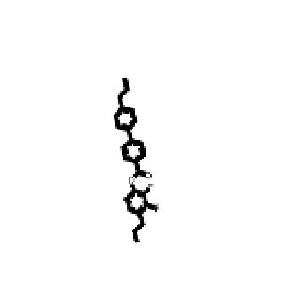 CCCc1ccc(-c2ccc(C(=O)Oc3ccc(CCC)c(F)c3F)cc2)cc1